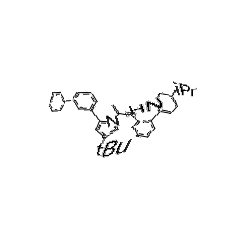 C=C([C@H](C)c1ccccc1C1=CC=C(C(C)C)CN1)n1cc(C(C)(C)C)cc1-c1cccc(-c2ccccc2)c1